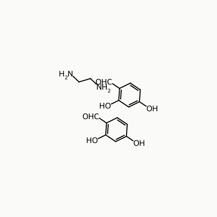 NCCN.O=Cc1ccc(O)cc1O.O=Cc1ccc(O)cc1O